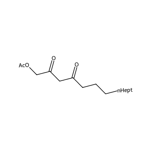 CCCCCCCCCCC(=O)CC(=O)COC(C)=O